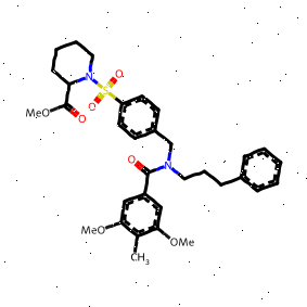 COC(=O)C1CCCCN1S(=O)(=O)c1ccc(CN(CCCc2ccccc2)C(=O)c2cc(OC)c(C)c(OC)c2)cc1